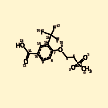 CS(=O)(=O)CCOc1ccc(C(=O)O)cc1C(F)(F)F